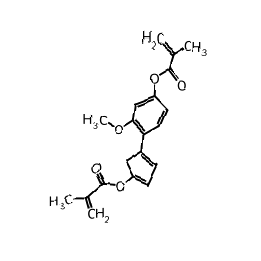 C=C(C)C(=O)OC1=CC=C(c2ccc(OC(=O)C(=C)C)cc2OC)C1